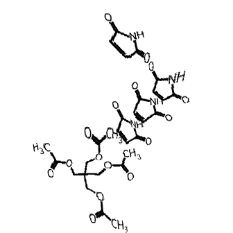 CC(=O)OCC(COC(C)=O)(COC(C)=O)COC(C)=O.O=C1C=CC(=O)N1.O=C1C=CC(=O)N1.O=C1C=CC(=O)N1.O=C1C=CC(=O)N1